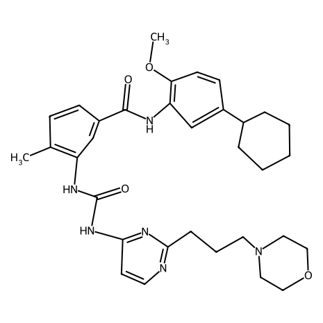 COc1ccc(C2CCCCC2)cc1NC(=O)c1ccc(C)c(NC(=O)Nc2ccnc(CCCN3CCOCC3)n2)c1